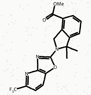 COC(=O)c1cccc2c1CN(c1nc3nc(C(F)(F)F)ccc3o1)C2(C)C